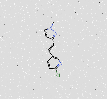 Cn1ccc(/C=C/c2ccc(Cl)nc2)n1